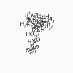 C/C(=C\[C@H](C(C)C)N(C)C(=O)C(NC(=O)[C@H]1CCCCN1C(C)C)C(C)(C)C)C(=O)N[C@H](CCC(=O)NCCN1C(=O)C=CC1=O)C(=O)O